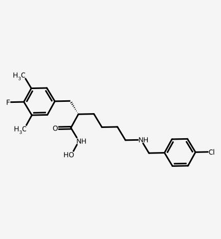 Cc1cc(C[C@H](CCCCNCc2ccc(Cl)cc2)C(=O)NO)cc(C)c1F